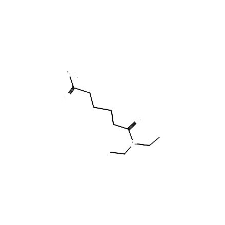 CCN(CC)C(=O)CCCCC(N)=O